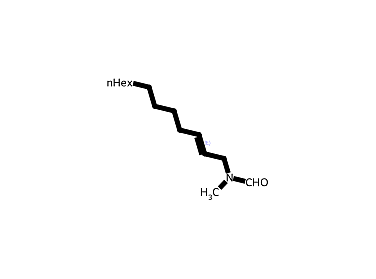 CCCCCCCCCC/C=C/CN(C)C=O